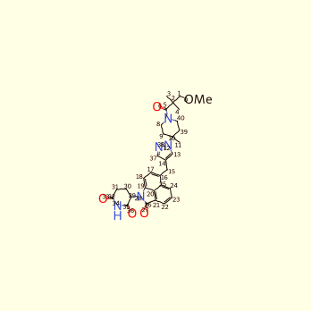 COCC(C)(C)C(=O)N1CCC(C)(n2cc(Cc3ccc4c5c(cccc35)C(=O)N4C3CCC(=O)NC3=O)cn2)CC1